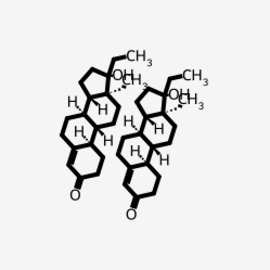 CC[C@]1(O)CC[C@H]2[C@@H]3CCC4=CC(=O)CC[C@@H]4[C@H]3CC[C@@]21CC.CC[C@]1(O)CC[C@H]2[C@@H]3CCC4=CC(=O)CC[C@@H]4[C@H]3CC[C@@]21CC